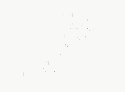 CC1CCN(c2ncc(-c3nc(NC(=O)[C@H](C)n4cnc5c4c(=O)n(CC(N)=O)c(=O)n5C)cs3)cn2)C1